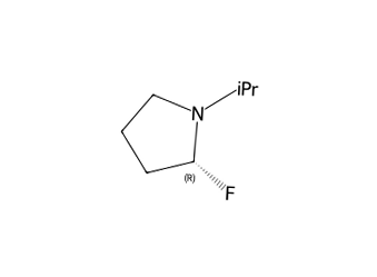 CC(C)N1CCC[C@H]1F